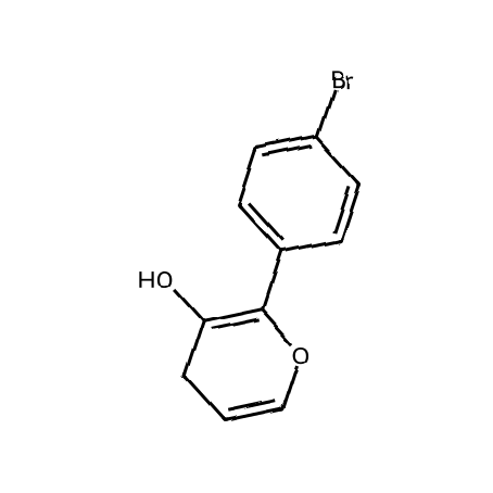 OC1=C(c2ccc(Br)cc2)OC=CC1